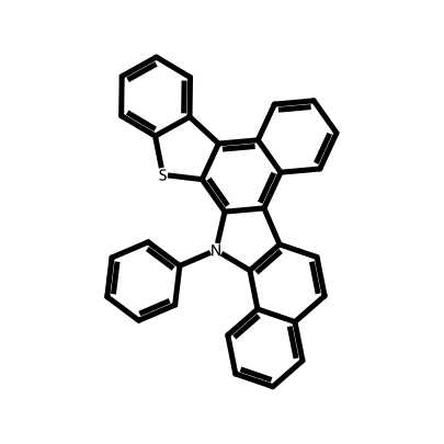 c1ccc(-n2c3c4ccccc4ccc3c3c4ccccc4c4c5ccccc5sc4c32)cc1